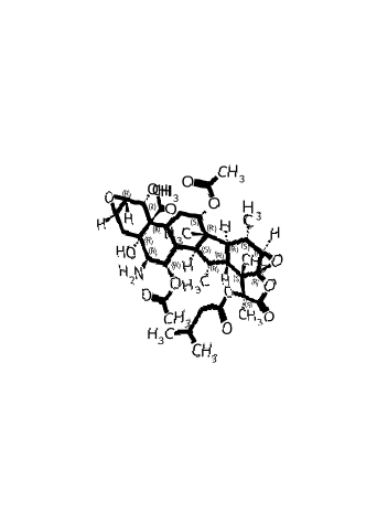 CC(=O)O[C@@H]1C2C(C[C@H](OC(C)=O)[C@]3(C)[C@H]4[C@H](C)[C@H]5O[C@]56OC(=O)[C@@](C)(OC(=O)CC(C)C)[C@]6(C)[C@@H]4[C@H](C)[C@@H]23)[C@@]2(C(C)=O)[C@@H](O)[C@H]3O[C@H]3C[C@]2(O)[C@@H]1N